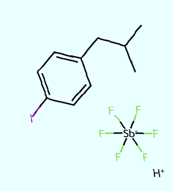 CC(C)Cc1ccc(I)cc1.[F][Sb-]([F])([F])([F])([F])[F].[H+]